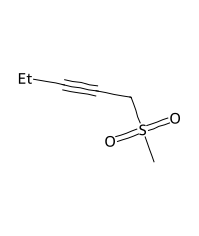 CCC#CCS(C)(=O)=O